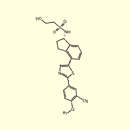 CC(C)Oc1ccc(-c2ncc(-c3cccc4c3CC[C@@H]4NS(=O)(=O)CCO)s2)cc1C#N